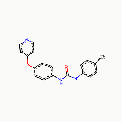 CCc1ccc(NC(=O)Nc2ccc(Oc3ccncc3)cc2)cc1